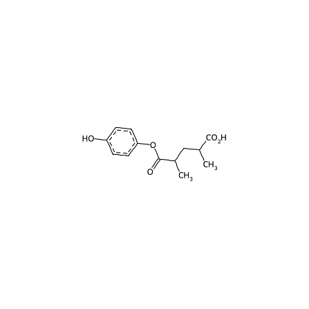 CC(CC(C)C(=O)Oc1ccc(O)cc1)C(=O)O